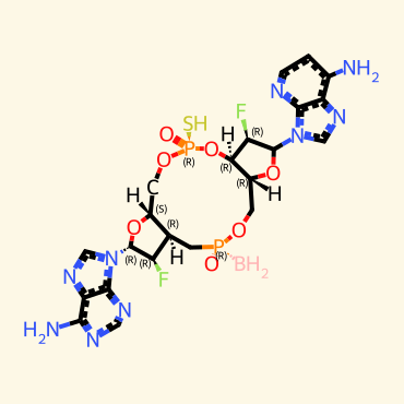 B[P@]1(=O)C[C@H]2[C@@H](F)[C@H](n3cnc4c(N)ncnc43)O[C@@H]2CO[P@@](=O)(S)O[C@@H]2[C@@H](CO1)OC(n1cnc3c(N)ccnc31)[C@@H]2F